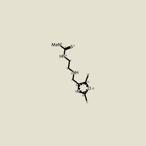 CNC(=S)NCCNCc1nc(C)oc1C